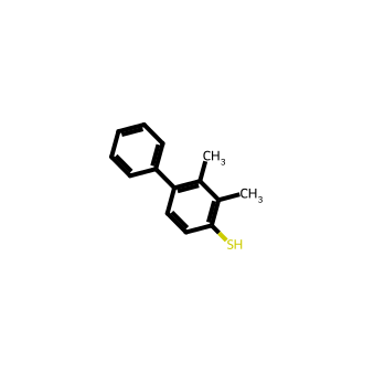 Cc1c(S)ccc(-c2ccccc2)c1C